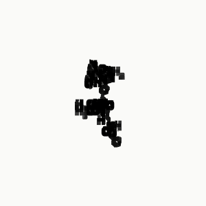 CC(C)(C)OC(=O)N[C@@H](CCCCNC(=O)OCc1ccccc1)C(=O)NCCc1ccc(-c2cnc(N)c(C(=O)Nc3cnccc3N3CCOCC3)n2)cc1